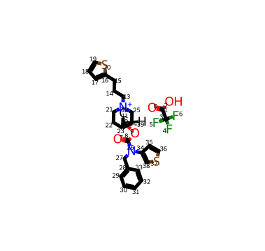 O=C(O)C(F)(F)F.O=C(O[C@H]1C[N+]2(CCCc3cccs3)CCC1CC2)N(Cc1ccccc1)c1ccsc1